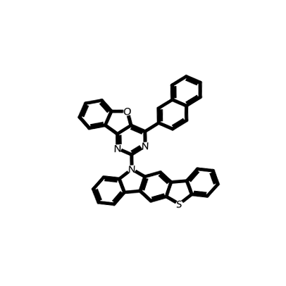 c1ccc2cc(-c3nc(-n4c5ccccc5c5cc6sc7ccccc7c6cc54)nc4c3oc3ccccc34)ccc2c1